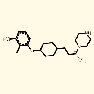 Cc1c(O)cccc1OC1CCC(CC[C@H](N2CCNCC2)C(F)(F)F)CC1